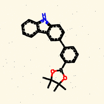 CC1(C)OB(c2cccc(-c3ccc4[nH]c5ccccc5c4c3)c2)OC1(C)C